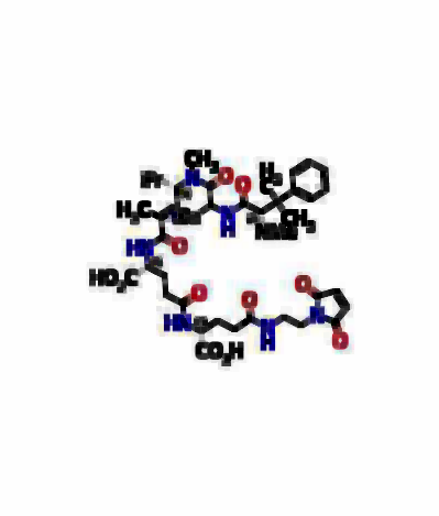 CN[C@H](C(=O)NC(C(=O)N(C)[C@H](/C=C(\C)C(=O)N[C@H](CCC(=O)N[C@H](CCC(=O)NCCN1C(=O)C=CC1=O)C(=O)O)C(=O)O)C(C)C)C(C)(C)C)C(C)(C)c1ccccc1